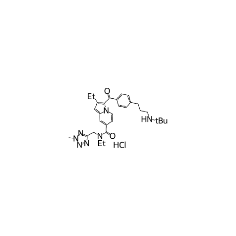 CCc1cc2cc(C(=O)N(CC)Cc3nnn(C)n3)ccn2c1C(=O)c1ccc(CCCNC(C)(C)C)cc1.Cl